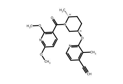 C#Cc1ccnc(O[C@@H]2CC[C@@H](C)N(C(=O)c3ccc(OC)nc3OC)C2)c1C